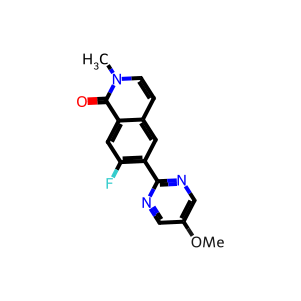 COc1cnc(-c2cc3ccn(C)c(=O)c3cc2F)nc1